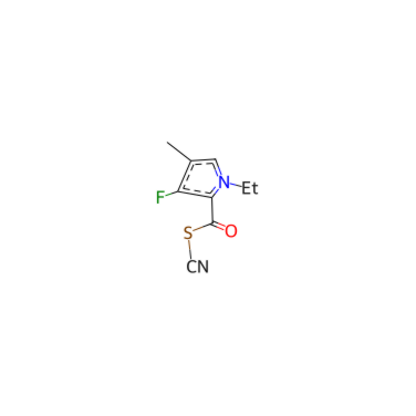 CCn1cc(C)c(F)c1C(=O)SC#N